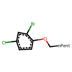 CCCCCCOc1ccc(Cl)cc1Br